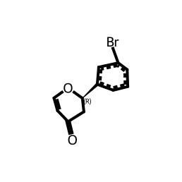 O=C1C=CO[C@@H](c2cccc(Br)c2)C1